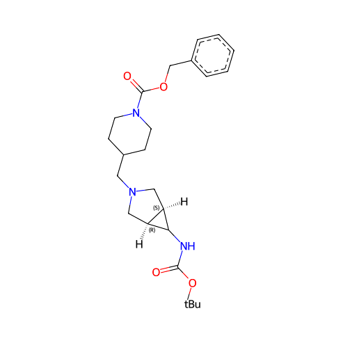 CC(C)(C)OC(=O)NC1[C@H]2CN(CC3CCN(C(=O)OCc4ccccc4)CC3)C[C@@H]12